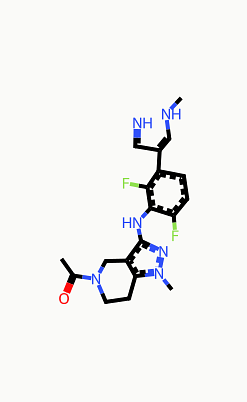 CN/C=C(\C=N)c1ccc(F)c(Nc2nn(C)c3c2CN(C(C)=O)CC3)c1F